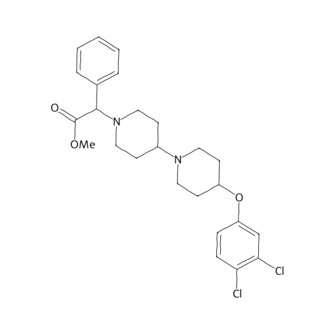 COC(=O)C(c1ccccc1)N1CCC(N2CCC(Oc3ccc(Cl)c(Cl)c3)CC2)CC1